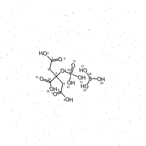 O=C(O)CC(CC(=O)O)(OP(=O)(O)O)C(=O)O.OB(O)O